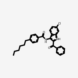 CCCCCCc1ccc(C(=O)Nc2c(C(=O)c3ccccc3)[nH]c3cc(Cl)ccc23)cc1